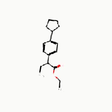 CCOC(=O)C(CC)c1ccc(C2CCCC2)cc1